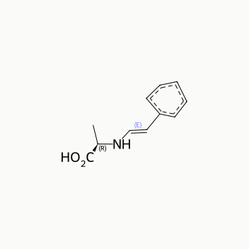 C[C@@H](N/C=C/c1ccccc1)C(=O)O